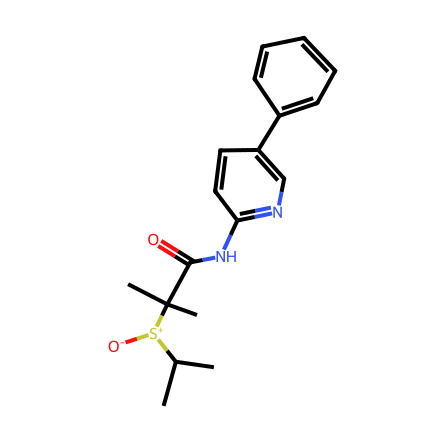 CC(C)[S+]([O-])C(C)(C)C(=O)Nc1ccc(-c2ccccc2)cn1